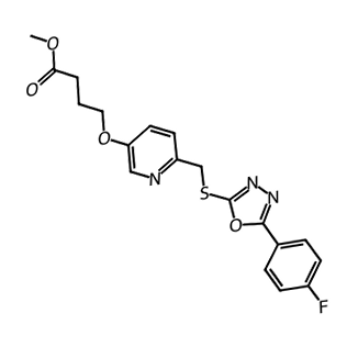 COC(=O)CCCOc1ccc(CSc2nnc(-c3ccc(F)cc3)o2)nc1